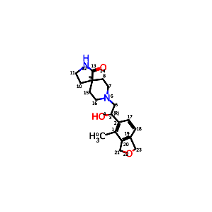 Cc1c([C@@H](O)CN2CCC3(CCNC3=O)CC2)ccc2c1COC2